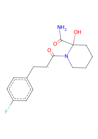 NC(=O)C1(O)CCCCN1C(=O)[CH]Cc1ccc(F)cc1